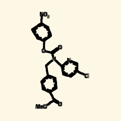 COC(=O)c1ccc(CN(C(=O)Oc2ccc([N+](=O)[O-])cc2)c2ccc(Cl)cn2)cc1